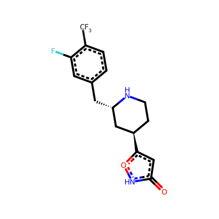 O=c1cc([C@@H]2CCN[C@@H](Cc3ccc(C(F)(F)F)c(F)c3)C2)o[nH]1